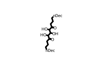 CCCCCCCCCCCCCC(=O)C(O)C(O)C(O)C(=O)CCCCCCCCCCCCC